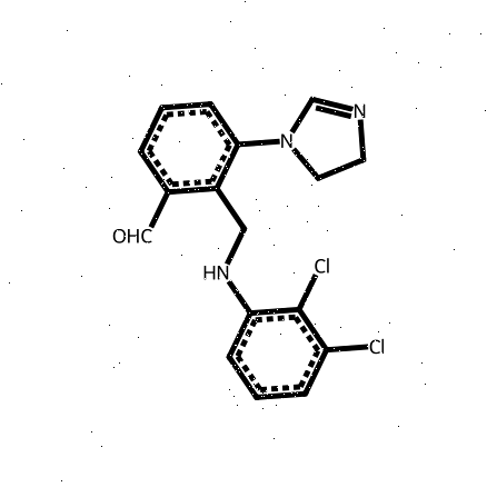 O=Cc1cccc(N2C=NCC2)c1CNc1cccc(Cl)c1Cl